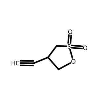 C#CC1COS(=O)(=O)C1